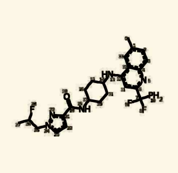 Cc1ccc2nc(C(F)(F)P)cc(NC3CCC(NC(=O)c4ccn(CC(C)F)n4)CC3)c2c1